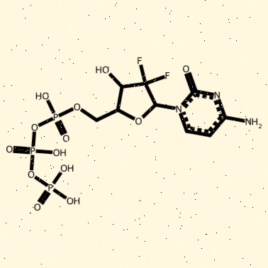 Nc1ccn(C2OC(COP(=O)(O)OP(=O)(O)OP(=O)(O)O)C(O)C2(F)F)c(=O)n1